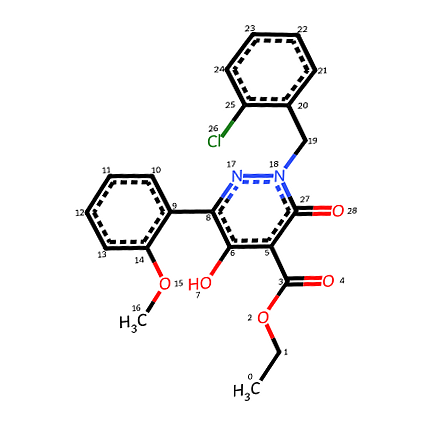 CCOC(=O)c1c(O)c(-c2ccccc2OC)nn(Cc2ccccc2Cl)c1=O